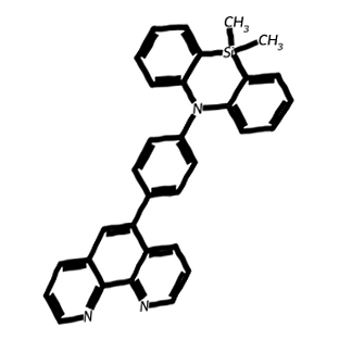 C[Si]1(C)c2ccccc2N(c2ccc(-c3cc4cccnc4c4ncccc34)cc2)c2ccccc21